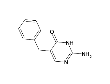 Nc1ncc(Cc2ccccc2)c(=O)[nH]1